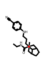 CCNC(=O)N(C)C1C2CCC1CN(CCCNc1ccc(C#N)cc1)C2